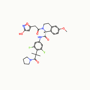 COc1ccc2c(c1)CCN(C(=O)Cc1cc(O)no1)[C@H]2C(=O)Nc1cc(F)c(C(C)(C)C(=O)N2CCCC2)c(F)c1